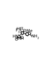 COc1c(-c2ccc3c(c2)CC=C3CN)cc(-c2c[nH]c(=O)[nH]c2=O)cc1C(F)(F)F.Cl